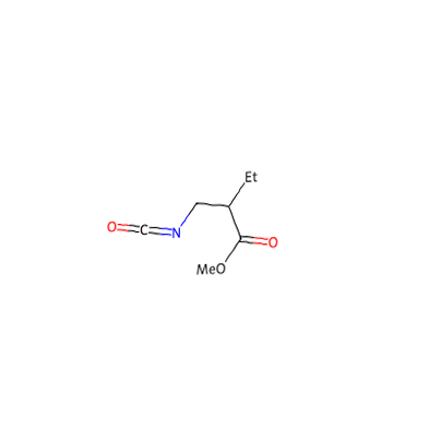 CCC(CN=C=O)C(=O)OC